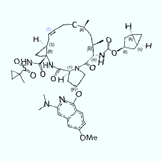 COc1ccc2c(O[C@@H]3C[C@H]4C(=O)N[C@]5(C(=O)NS(=O)(=O)C6(C)CC6)C[C@H]5/C=C\CC[C@@H](C)C[C@@H](C)[C@H](NC(=O)O[C@@H]5C[C@@H]6C[C@@H]6C5)C(=O)N4C3)nc(N(C)C)cc2c1